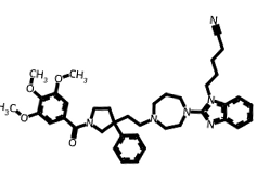 COc1cc(C(=O)N2CCC(CCN3CCCN(c4nc5ccccc5n4CCCCC#N)CC3)(c3ccccc3)C2)cc(OC)c1OC